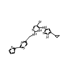 BrC1=C(Nc2cc(C3CC3)[nH]n2)NC(NCc2csc(-c3cccs3)n2)N=C1